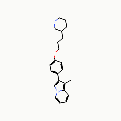 Cc1c(-c2ccc(OCCCC3CCCNC3)cc2)cn2ccccc12